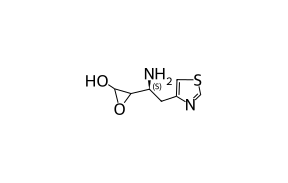 N[C@@H](Cc1cscn1)C1OC1O